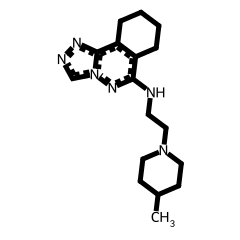 CC1CCN(CCNc2nn3cnnc3c3c2CCCC3)CC1